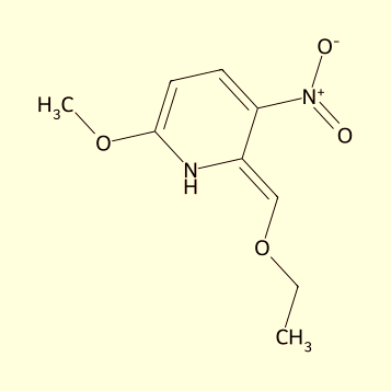 CCOC=C1NC(OC)=CC=C1[N+](=O)[O-]